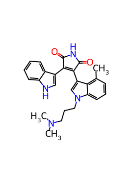 Cc1cccc2c1c(C1=C(c3c[nH]c4ccccc34)C(=O)NC1=O)cn2CCCN(C)C